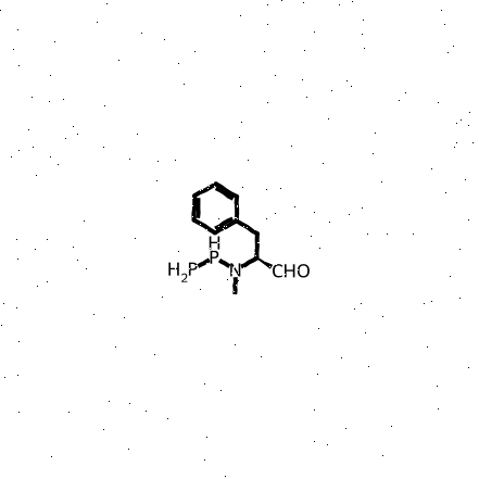 CN(PP)[C@H](C=O)Cc1ccccc1